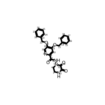 O=C1NCCN(NC(=O)c2cc(OCc3ccccc3)c(OCc3ccccc3)cn2)C1=O